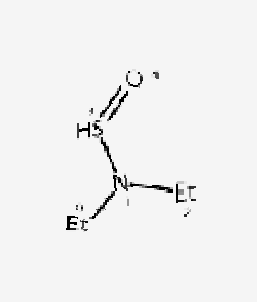 CCN(CC)[SH]=O